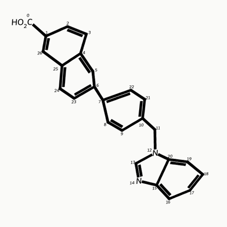 O=C(O)c1ccc2cc(-c3ccc(Cn4cnc5ccccc54)cc3)ccc2c1